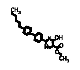 CCCCCCc1ccc(-c2ccc(-c3ncc(C(=O)OCC)c(O)n3)cc2)cc1